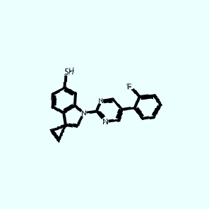 Fc1ccccc1-c1cnc(N2CC3(CC3)c3ccc(S)cc32)nc1